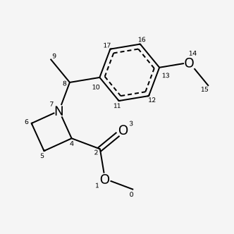 COC(=O)C1CCN1C(C)c1ccc(OC)cc1